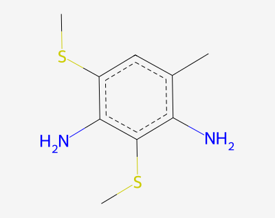 CSc1cc(C)c(N)c(SC)c1N